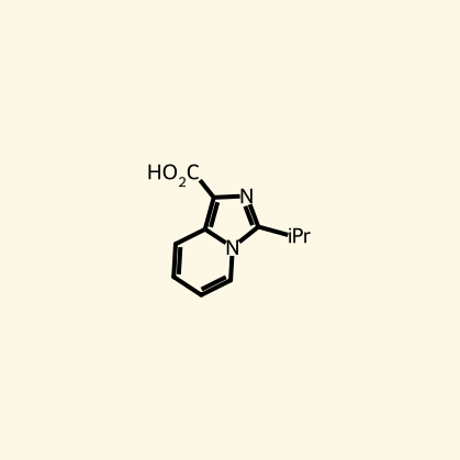 CC(C)c1nc(C(=O)O)c2ccccn12